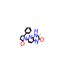 C[C@H]1Nc2nc(N3C(=O)CCC3c3ccccc3)ccc2N(C)C1=O